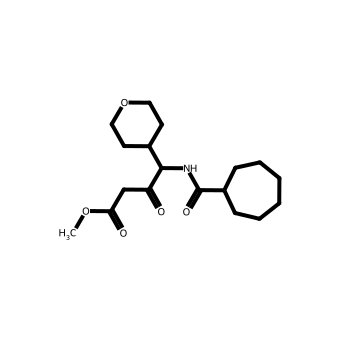 COC(=O)CC(=O)C(NC(=O)C1CCCCCC1)C1CCOCC1